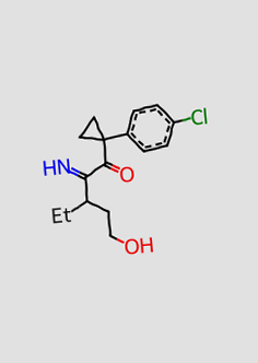 CCC(CCO)C(=N)C(=O)C1(c2ccc(Cl)cc2)CC1